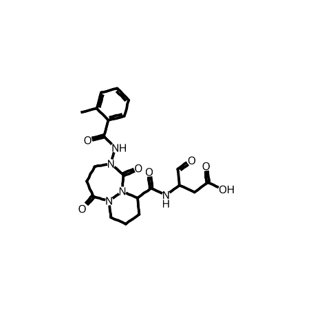 Cc1ccccc1C(=O)NN1CCC(=O)N2CCCC(C(=O)NC(C=O)CC(=O)O)N2C1=O